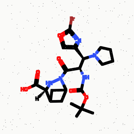 CC(C)(C)OC(=O)N[C@H](C(=O)N1N[C@H](C(=O)O)C2CC1C2)[C@@H](c1coc(Br)n1)N1CCCC1